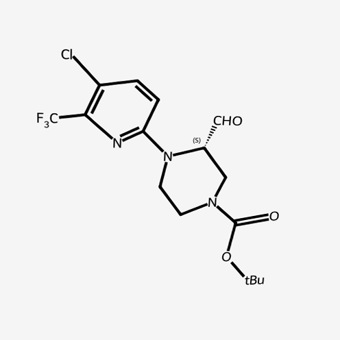 CC(C)(C)OC(=O)N1CCN(c2ccc(Cl)c(C(F)(F)F)n2)[C@H](C=O)C1